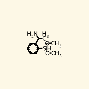 CO[SiH](OC)c1ccccc1C(C)N